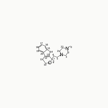 CN1CCN(CCC2(C)OCCC3=C2Cc2ccccc23)CC1